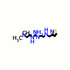 CN(C)CCN/C(N)=N/CCNCc1ccsn1